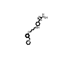 SNc1nnc(C2CCC(NCCCCOc3cccc(CN4CCCCC4)c3)CC2)s1